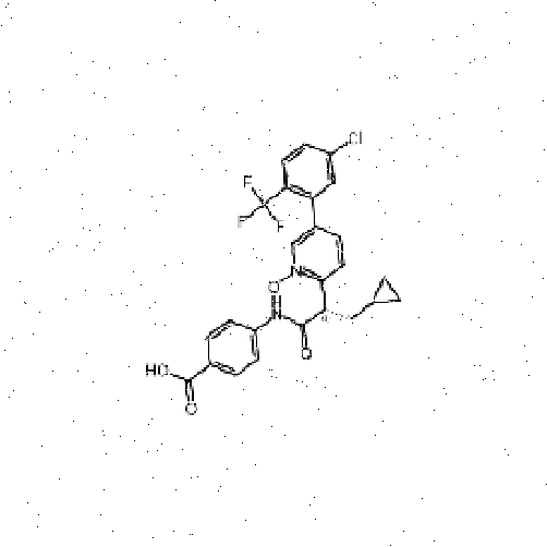 O=C(O)c1ccc(NC(=O)[C@@H](CC2CC2)c2ccc(-c3cc(Cl)ccc3C(F)(F)F)c[n+]2[O-])cc1